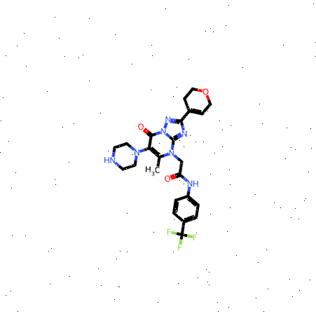 Cc1c(N2CCNCC2)c(=O)n2nc(C3=CCOCC3)nc2n1CC(=O)Nc1ccc(C(F)(F)F)cc1